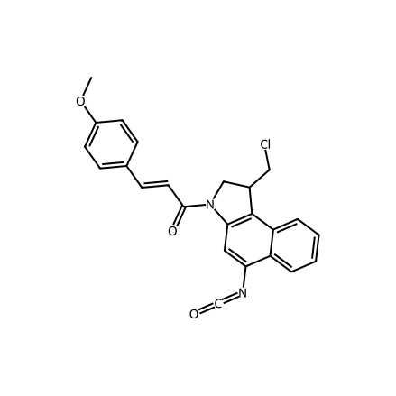 COc1ccc(C=CC(=O)N2CC(CCl)c3c2cc(N=C=O)c2ccccc32)cc1